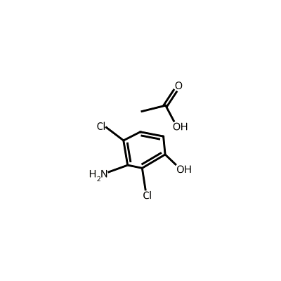 CC(=O)O.Nc1c(Cl)ccc(O)c1Cl